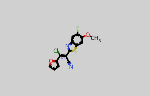 COc1cc2sc(/C(C#N)=C(\Cl)c3ccco3)nc2cc1F